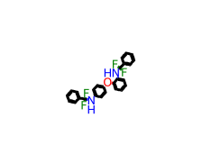 FC(F)(Nc1ccc(Oc2ccccc2NC(F)(F)c2ccccc2)cc1)c1ccccc1